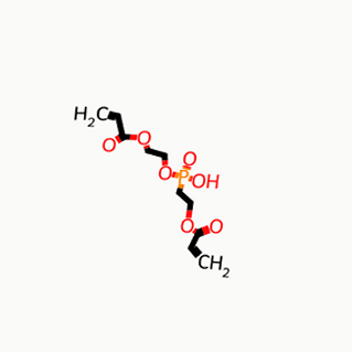 C=CC(=O)OCCOP(=O)(O)CCOC(=O)C=C